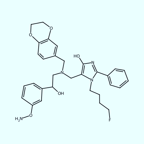 NOc1cccc(C(O)CN(Cc2ccc3c(c2)OCCO3)Cc2c(O)nc(-c3ccccc3)n2CCCCF)c1